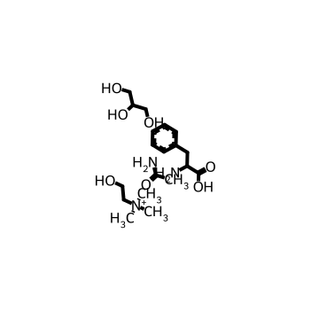 CC(N)=O.C[N+](C)(C)CCO.NC(Cc1ccccc1)C(=O)O.OCC(O)CO